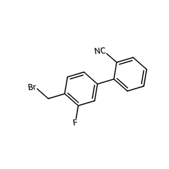 N#Cc1ccccc1-c1ccc(CBr)c(F)c1